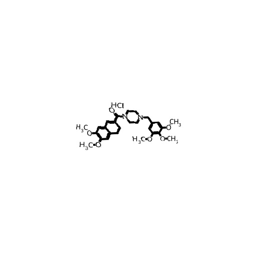 COc1cc2c(cc1OC)CCC(C(=O)N1CCN(Cc3cc(OC)c(OC)c(OC)c3)CC1)=C2.Cl